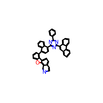 c1ccc(-c2nc(-c3ccc(-c4cccc5oc6c7cnccc7ccc6c45)c4ccccc34)nc(-c3cc4ccccc4c4ccccc34)n2)cc1